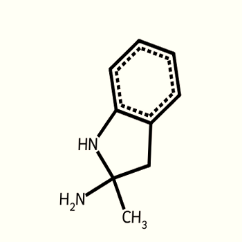 CC1(N)Cc2ccccc2N1